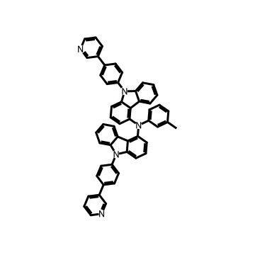 Cc1cccc(N(c2cccc3c2c2ccccc2n3-c2ccc(-c3cccnc3)cc2)c2cccc3c2c2ccccc2n3-c2ccc(-c3cccnc3)cc2)c1